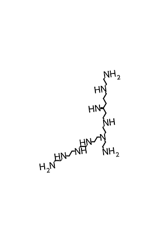 N=C(CCCNCCN)CCNCCN(CCN)CCNCCNCCNCCN